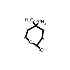 CC1(C)CCOC(O)CC1